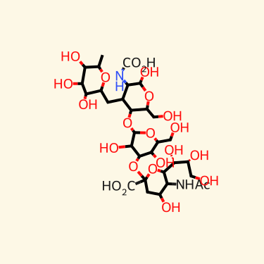 CC(=O)NC1C(O)CC(OC2C(O)C(CO)OC(OC3C(CO)OC(O)C(NC(=O)O)C3CC3OC(C)C(O)C(O)C3O)C2O)(C(=O)O)OC1[C@H](O)[C@H](O)CO